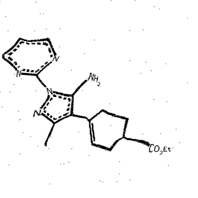 CCOC(=O)C1CC=C(c2c(C)nn(-c3ncccn3)c2N)CC1